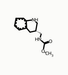 COC(=O)NC[C@H]1CNc2ccccc2C1